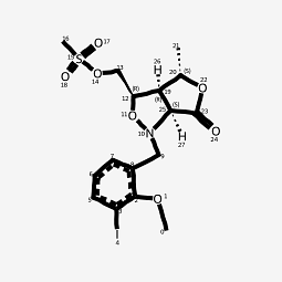 COc1c(I)cccc1CN1O[C@@H](COS(C)(=O)=O)[C@H]2[C@H](C)OC(=O)[C@H]21